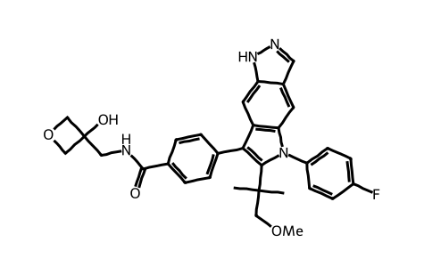 COCC(C)(C)c1c(-c2ccc(C(=O)NCC3(O)COC3)cc2)c2cc3[nH]ncc3cc2n1-c1ccc(F)cc1